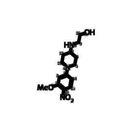 COc1cc(N2CCC(NCCO)CC2)ccc1[N+](=O)[O-]